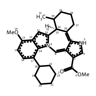 COC(=O)c1c[nH]c2c1=Cn1c(cc3c(OC)ccc(C4CCCCC4)c31)[C@@H]1C=2CCCC1C